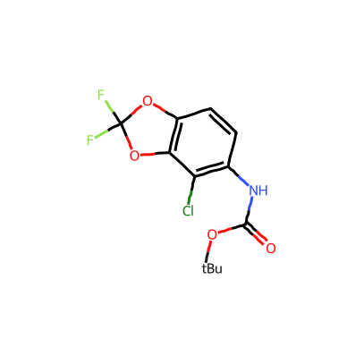 CC(C)(C)OC(=O)Nc1ccc2c(c1Cl)OC(F)(F)O2